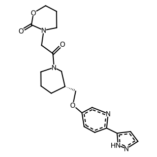 O=C(CN1CCCOC1=O)N1CCC[C@@H](COc2ccc(-c3ccn[nH]3)nc2)C1